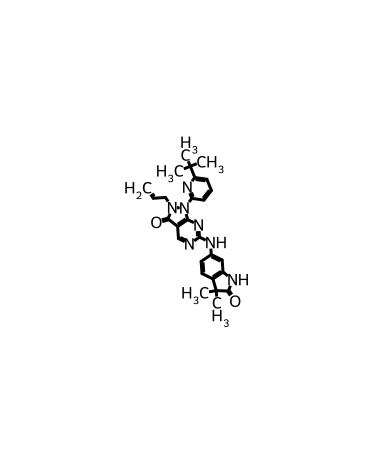 C=CCn1c(=O)c2cnc(Nc3ccc4c(c3)NC(=O)C4(C)C)nc2n1-c1cccc(C(C)(C)C)n1